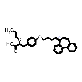 CCCOC(Cc1ccc(OCCC/C=C2/C=CC3=C(CCC=C3)c3ccccc32)cc1)C(=O)O